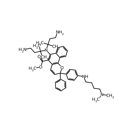 COC(=O)c1c2c(c3ccccc3c1N(C(C)(C)CCN)C(C)(C)CCN)OC(c1ccccc1)(c1ccc(NCCCCN(C)C)cc1)C=C2